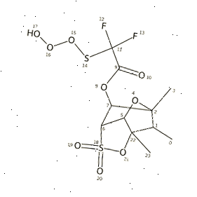 CC1C2(C)OC3C(C2OC(=O)C(F)(F)SOOO)S(=O)(=O)OC31C